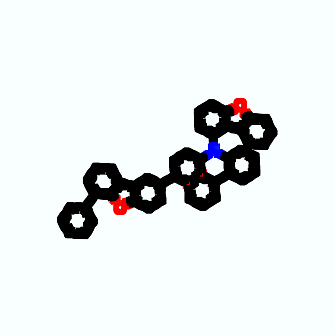 c1ccc(-c2ccccc2N(c2ccc(-c3ccc4oc5c(-c6ccccc6)cccc5c4c3)cc2)c2cccc3oc4ccccc4c23)cc1